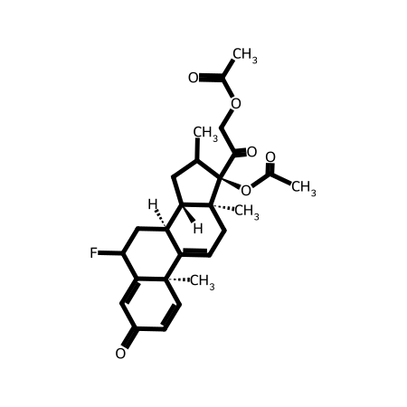 CC(=O)OCC(=O)[C@@]1(OC(C)=O)C(C)C[C@H]2[C@@H]3CC(F)C4=CC(=O)C=C[C@]4(C)C3=CC[C@@]21C